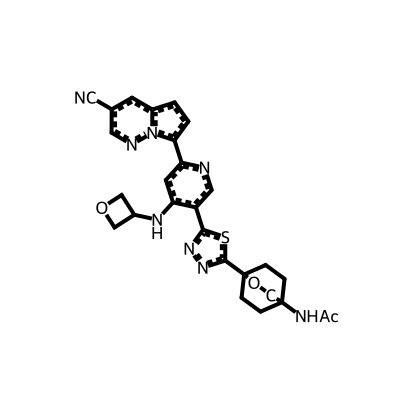 CC(=O)NC12CCC(c3nnc(-c4cnc(-c5ccc6cc(C#N)cnn56)cc4NC4COC4)s3)(CC1)OC2